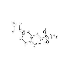 NS(=O)(=O)c1ccc2c(c1)CN(C1COC1)CC2